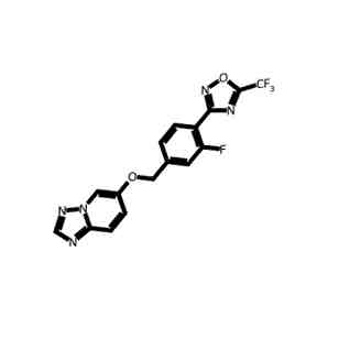 Fc1cc(COc2ccc3ncnn3c2)ccc1-c1noc(C(F)(F)F)n1